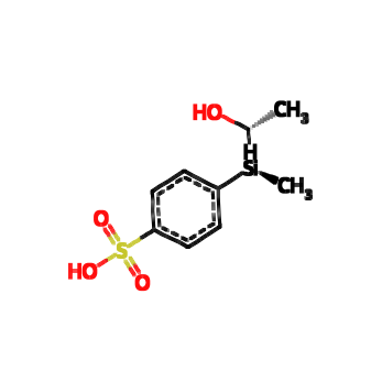 C[C@@H](O)[Si@@H](C)c1ccc(S(=O)(=O)O)cc1